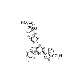 Cc1ccc(OCc2ccc3c(c2)CCN(S(=O)(=O)CC(=O)O)C3)c(-c2cccc(-n3ncc(C(=O)O)c3C(F)(F)F)n2)c1